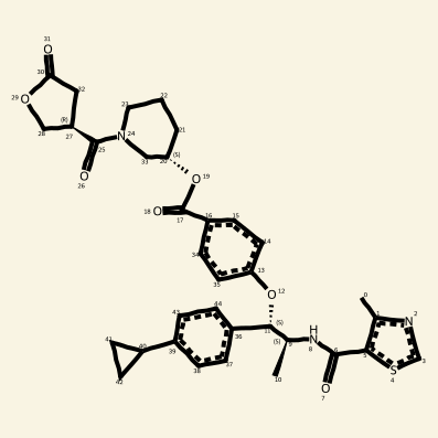 Cc1ncsc1C(=O)N[C@@H](C)[C@@H](Oc1ccc(C(=O)O[C@H]2CCCN(C(=O)[C@H]3COC(=O)C3)C2)cc1)c1ccc(C2CC2)cc1